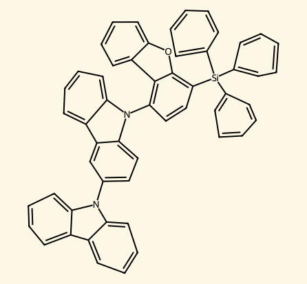 c1ccc([Si](c2ccccc2)(c2ccccc2)c2ccc(-n3c4ccccc4c4cc(-n5c6ccccc6c6ccccc65)ccc43)c3c2oc2ccccc23)cc1